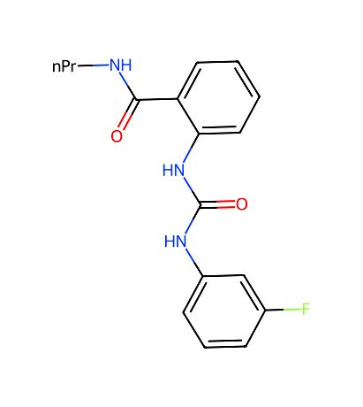 CCCNC(=O)c1ccccc1NC(=O)Nc1cccc(F)c1